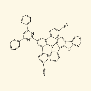 N#Cc1ccc(-c2cc(-c3nc(-c4ccccc4)cc(-c4ccccc4)n3)cc(-c3ccc(C#N)cc3)c2-n2c3ccccc3c3c4oc5ccccc5c4ccc32)cc1